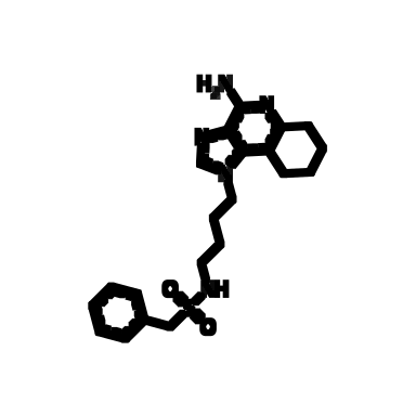 Nc1nc2c(c3c1ncn3CCCCNS(=O)(=O)Cc1ccccc1)CCCC2